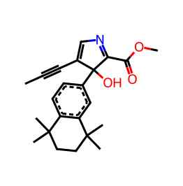 CC#CC1=CN=C(C(=O)OC)C1(O)c1ccc2c(c1)C(C)(C)CCC2(C)C